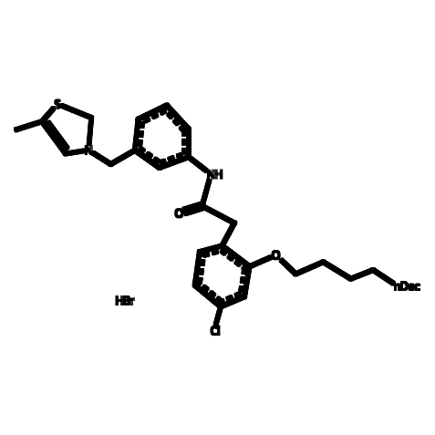 Br.CCCCCCCCCCCCCCOc1cc(Cl)ccc1CC(=O)Nc1cccc(CN2C=C(C)SC2)c1